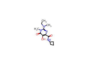 CCN(C)c1nc(C(=O)NC2CCC2)c(O)c(=O)n1C